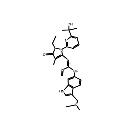 C=N/C(=N\c1c(C)c(=O)n(CC)n1-c1cccc(C(C)(C)O)n1)Nc1ccc2c(CN(C)C)c[nH]c2c1